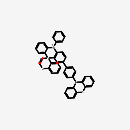 c1ccc([SiH]2c3ccccc3[Si]3(c4ccccc4Oc4ccccc43)c3cc(-c4ccc(N5c6ccccc6Sc6ccccc65)cc4)ccc32)cc1